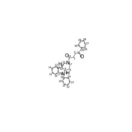 O=C(CCC(=O)N1CC[C@@H]2[C@@H](C1)c1ccccc1N2c1ccccc1)c1ccccc1